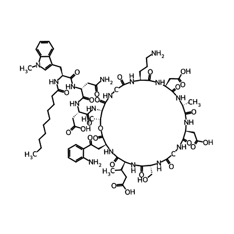 CCCCCCCCCC(=O)N[C@@H](Cc1cn(C)c2ccccc12)C(=O)N[C@H](CC(N)=O)C(=O)N[C@@H](CC(=O)O)C(=O)N[C@@H]1C(=O)NCC(=O)N[C@@H](CCCN)C(=O)N[C@@H](CC(=O)O)C(=O)N[C@H](C)C(=O)N[C@@H](CC(=O)O)C(=O)NCC(=O)N[C@H](CO)C(=O)N[C@@H](C(C)CC(=O)O)C(=O)N[C@@H](CC(=O)c2ccccc2N)C(=O)O[C@@H]1C